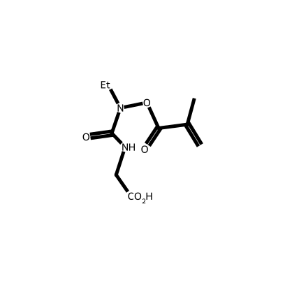 C=C(C)C(=O)ON(CC)C(=O)NCC(=O)O